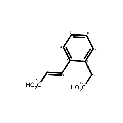 O=C(O)/C=C/c1ccccc1CC(=O)O